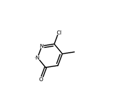 CC1=CC(=O)[N]N=C1Cl